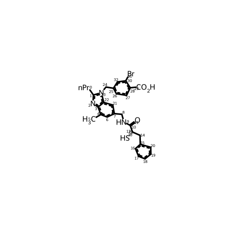 CCCc1nc2c(C)cc(CNC(=O)[C@@H](S)Cc3ccccc3)cc2n1Cc1ccc(C(=O)O)c(Br)c1